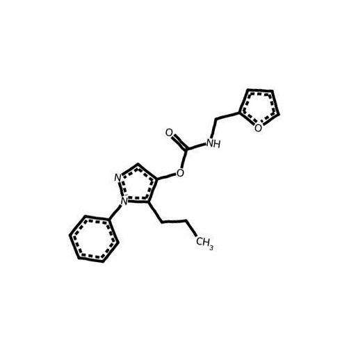 CCCc1c(OC(=O)NCc2ccco2)cnn1-c1ccccc1